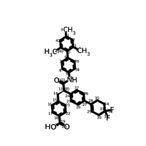 Cc1cc(C)c(-c2ccc(NC(=O)[C@H](Cc3ccc(C(=O)O)cc3)c3ccc(C4=CCC(F)(F)CC4)cc3)cc2)c(C)c1